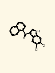 O=C(c1cccc2ccccc12)c1c[nH]c2cc(Cl)c(Cl)cc12